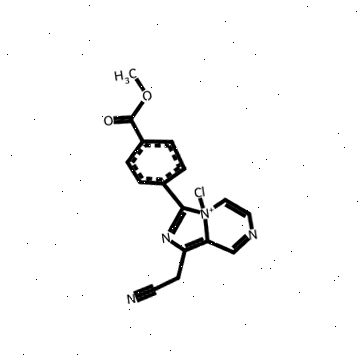 COC(=O)c1ccc(C2=NC(CC#N)=C3C=NC=C[N+]23Cl)cc1